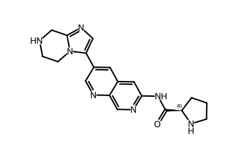 O=C(Nc1cc2cc(-c3cnc4n3CCNC4)cnc2cn1)[C@H]1CCCN1